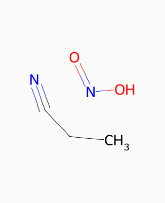 CCC#N.O=NO